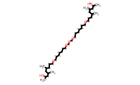 CC(O)CC(C)CC(C)CCCOCCCCCCCOCOCOCCCCCCCOCCCC(C)CC(C)CC(C)O